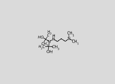 CN(C)CCCNN(C(C)(C)O)C(C)(C)O